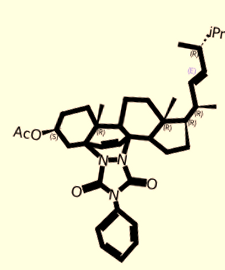 CC(=O)O[C@H]1CC[C@]2(C)C3CC[C@@]4(C)C(CC[C@@H]4[C@H](C)/C=C/[C@H](C)C(C)C)C34C=CC2(C1)n1c(=O)n(-c2ccccc2)c(=O)n14